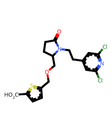 O=C(O)c1ccc(COCC2CCC(=O)N2CCc2cc(Cl)nc(Cl)c2)s1